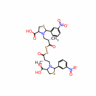 C[C@@H](CN1C(C(=O)O)CSC1c1cccc([N+](=O)[O-])c1)C(=O)SSC(=O)[C@@H](C)CN1C(C(=O)O)CSC1c1cccc([N+](=O)[O-])c1